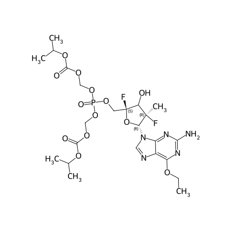 CCOc1nc(N)nc2c1ncn2[C@@H]1O[C@](F)(COP(=O)(OCOC(=O)OC(C)C)OCOC(=O)OC(C)C)C(O)[C@@]1(C)F